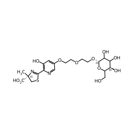 C[C@]1(C(=O)O)CSC(c2ncc(OCCOCCO[C@H]3OC(CO)[C@H](O)C(O)C3O)cc2O)=N1